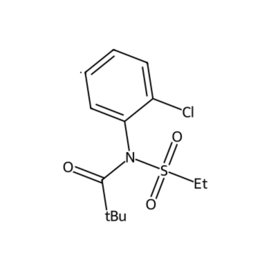 CCS(=O)(=O)N(C(=O)C(C)(C)C)c1c[c]ccc1Cl